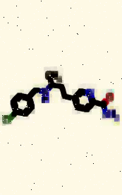 CC(CCc1ccc(C(N)=O)nc1)NCc1ccc(Cl)cc1